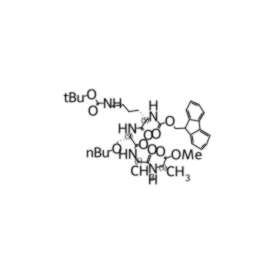 CCCCOC[C@H](NC(=O)[C@H](CCCCNC(=O)OC(C)(C)C)NC(=O)OCC1c2ccccc2-c2ccccc21)C(=O)N[C@@H](C)C(=O)N[C@@H](C)C(=O)OC